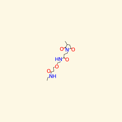 CCNC(=O)CCOCCNC(=O)CCN1C(=O)CC(C)C1=O